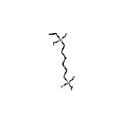 CC[Si](F)(F)CCCCCC[Si](F)(F)F